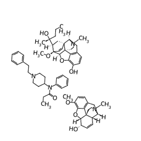 CCC(=O)N(c1ccccc1)C1CCN(CCc2ccccc2)CC1.CCC[C@@](C)(O)[C@H]1C[C@@]23C=C[C@]1(OC)[C@@H]1Oc4c(O)ccc5c4[C@@]12CCN(C)[C@@H]3C5.COc1ccc2c3c1O[C@H]1[C@@H](O)C=C[C@H]4[C@@H](C2)N(C)CC[C@@]341